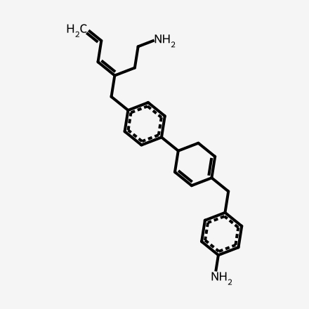 C=C/C=C(\CCN)Cc1ccc(C2C=CC(Cc3ccc(N)cc3)=CC2)cc1